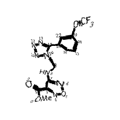 COC(=O)c1nonc1NCn1nnnc1-c1cccc(OC(F)(F)F)c1